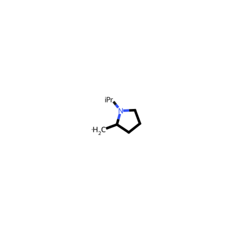 [CH2]C1CCCN1C(C)C